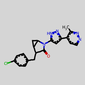 Cc1nnccc1-c1cc(N2C(=O)C(Cc3ccc(Cl)cc3)C3CC32)[nH]n1